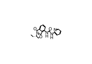 CC[C@H]1COC2c3c(NC(=O)Nc4ccccn4)cccc3C(=O)N21